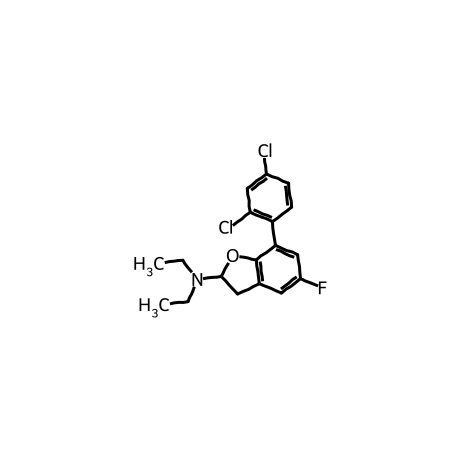 CCN(CC)C1Cc2cc(F)cc(-c3ccc(Cl)cc3Cl)c2O1